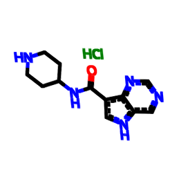 Cl.O=C(NC1CCNCC1)c1c[nH]c2cncnc12